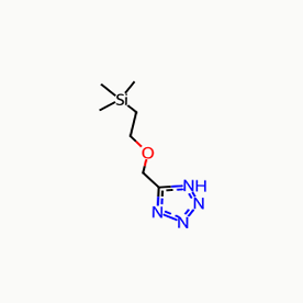 C[Si](C)(C)CCOCc1nnn[nH]1